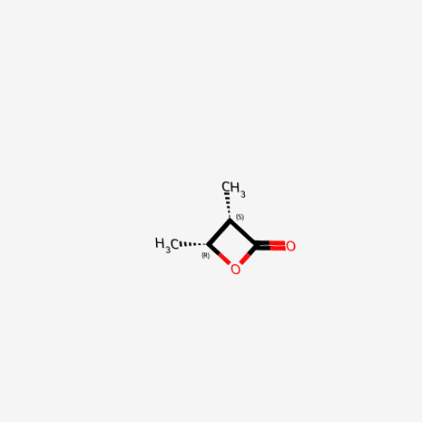 C[C@@H]1C(=O)O[C@@H]1C